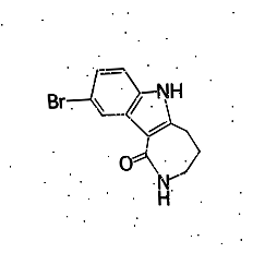 O=C1NCCCc2[nH]c3ccc(Br)cc3c21